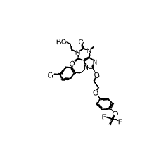 Cn1c(=O)n(CCO)c(=O)c2c1nc(OCCOc1ccc(OC(C)(F)F)cc1)n2Cc1ccc(Cl)cc1